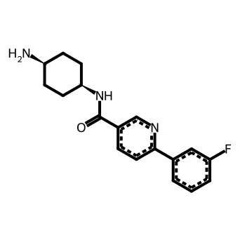 N[C@H]1CC[C@@H](NC(=O)c2ccc(-c3cccc(F)c3)nc2)CC1